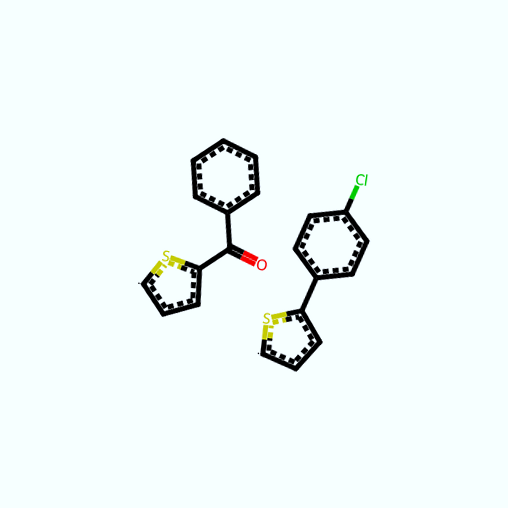 Clc1ccc(-c2cc[c]s2)cc1.O=C(c1ccccc1)c1cc[c]s1